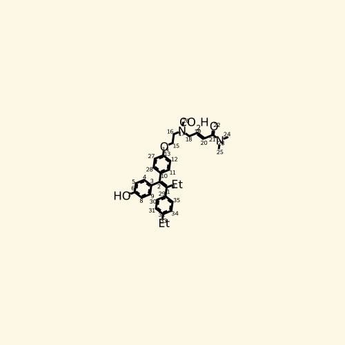 CCC(=C(c1ccc(O)cc1)c1ccc(OCCN(CC=CC(=O)N(C)C)C(=O)O)cc1)c1ccc(CC)cc1